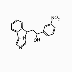 O=[N+]([O-])c1cccc(C(O)CC2c3ccccc3-c3cncn32)c1